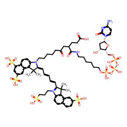 CC1(C)C(/C=C/C=C/C=C2/N(CCCCCC(=O)CC(CCC(=O)O)C(=O)NCCCCCCOP(=O)(O)OP(=O)(O)OP(=O)(O)OC[C@H]3O[C@@H](n4ccc(N)nc4=O)C[C@H]3O)c3ccc4c(S(=O)(=O)O)cc(S(=O)(=O)O)cc4c3C2(C)C)=[N+](CCCS(=O)(=O)O)c2ccc3ccc(S(=O)(=O)O)cc3c21